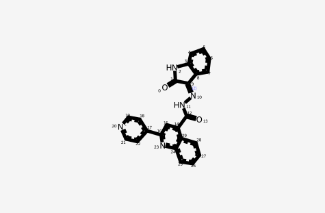 O=C1Nc2ccccc2/C1=N/NC(=O)c1cc(-c2ccncc2)nc2ccccc12